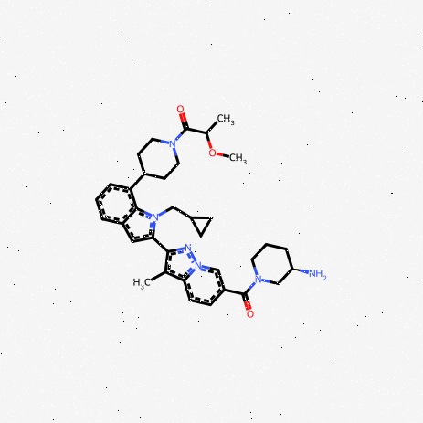 COC(C)C(=O)N1CCC(c2cccc3cc(-c4nn5cc(C(=O)N6CCC[C@@H](N)C6)ccc5c4C)n(CC4CC4)c23)CC1